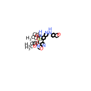 Cc1c(-c2cc3cc(Nc4ccc5c(c4)COCC5)ncc3c(NC(=O)OC(C)(C)C)c2F)cnc2c1N(C(=O)OC(C)(C)C)CCO2